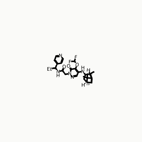 CCC(NC(=O)Cn1ncc(NC2C[C@@H]3CC([C@H]2C)C3(C)C)c(OC(F)F)c1=O)c1ccncc1